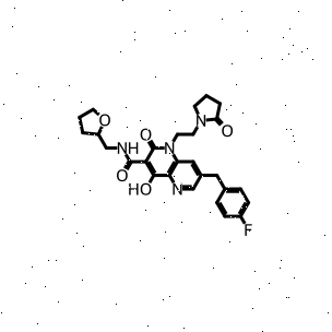 O=C(NCC1CCCO1)c1c(O)c2ncc(Cc3ccc(F)cc3)cc2n(CCN2CCCC2=O)c1=O